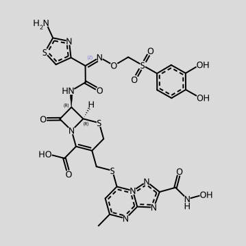 Cc1cc(SCC2=C(C(=O)O)N3C(=O)[C@@H](NC(=O)/C(=N\OCS(=O)(=O)c4ccc(O)c(O)c4)c4csc(N)n4)[C@H]3SC2)n2nc(C(=O)NO)nc2n1